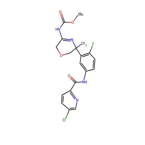 CC(C)(C)OC(=O)NC1=NC(c2cc(NC(=O)c3ccc(Cl)cn3)ccc2F)(C(F)(F)F)COC1